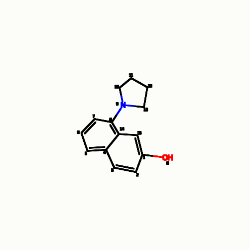 Oc1ccc2cccc(N3CCCC3)c2c1